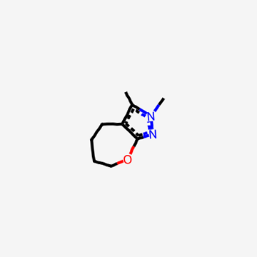 Cc1c2c(nn1C)OCCCC2